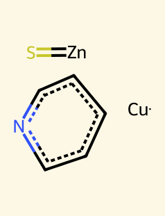 [Cu].[S]=[Zn].c1ccncc1